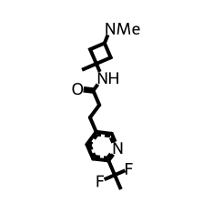 CNC1CC(C)(NC(=O)CCc2ccc(C(C)(F)F)nc2)C1